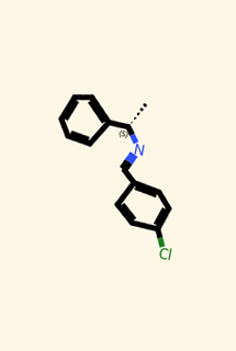 C[C@H](N=Cc1ccc(Cl)cc1)c1ccccc1